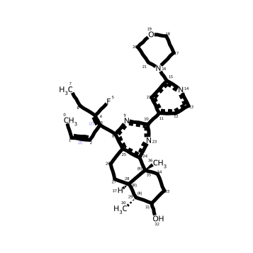 C/C=C\C(=C(\F)CC)c1nc(-c2ccnc(N3CCOCC3)c2)nc2c1CC[C@@H]1[C@@H](C)C(O)CC[C@@]21C